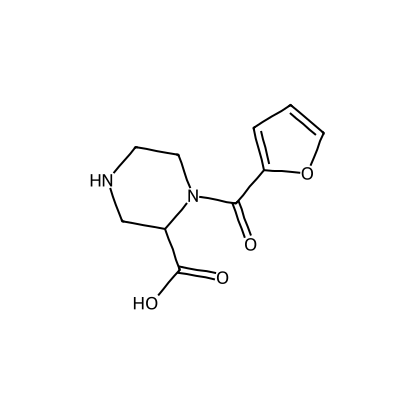 O=C(O)C1CNCCN1C(=O)c1ccco1